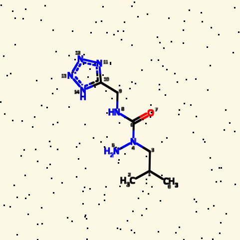 CC(C)CN(N)C(=O)NCc1nnn[nH]1